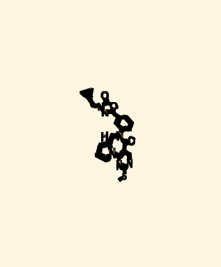 CSc1ncc2c(n1)N1CCC[C@H]1CN(c1cccc(-c3nn(CC4CC4)c(=O)o3)c1)C2=O